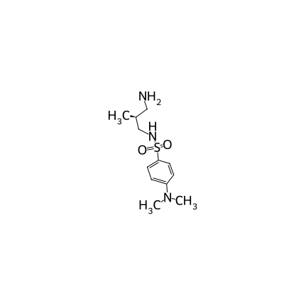 C[C@@H](CN)CNS(=O)(=O)c1ccc(N(C)C)cc1